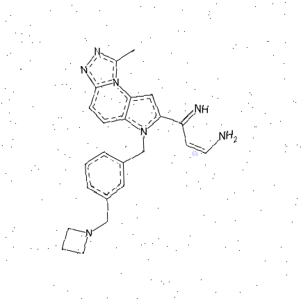 Cc1nnc2ccc3c(cc(C(=N)/C=C\N)n3Cc3cccc(CN4CCC4)c3)n12